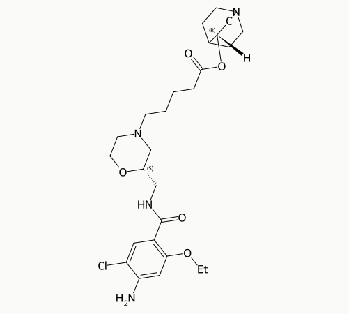 CCOc1cc(N)c(Cl)cc1C(=O)NC[C@H]1CN(CCCCC(=O)O[C@H]2CN3CCC2CC3)CCO1